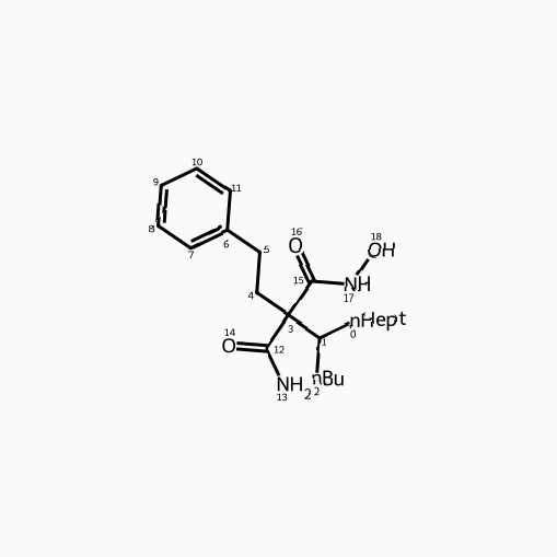 CCCCCCCC(CCCC)C(CCc1ccccc1)(C(N)=O)C(=O)NO